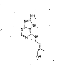 CC(=CCNc1ncnc2nc(N)[nH]c12)CO